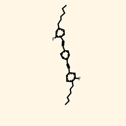 CCCCCCc1ccc(C#Cc2ccc(C#Cc3ccc(CCCCCC)c(F)c3)cc2)c(F)c1